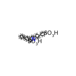 O=S(=O)(O)c1ccc(-c2ccc(-c3ccc(C4(S(=O)(=O)O)C=CC(c5ccccc5)=CC4)cn3)cc2)cc1